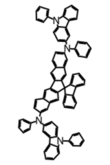 c1ccc(N(c2ccc3cc4c(cc3c2)C2(c3ccccc3-c3ccccc32)c2cc3cc(N(c5ccccc5)c5ccc6c(c5)c5ccccc5n6-c5ccccc5)ccc3cc2-4)c2ccc3c(c2)c2ccccc2n3-c2ccccc2)cc1